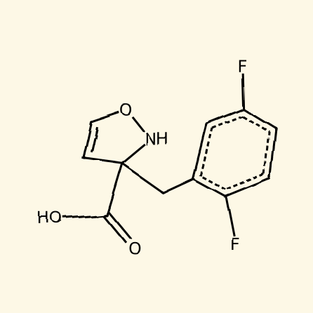 O=C(O)C1(Cc2cc(F)ccc2F)C=CON1